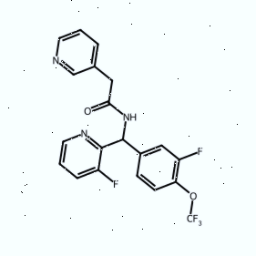 O=C(Cc1cccnc1)NC(c1ccc(OC(F)(F)F)c(F)c1)c1ncccc1F